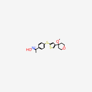 COC1(c2csc(Sc3ccc(/C(C)=N/O)cc3)c2)CCOCC1